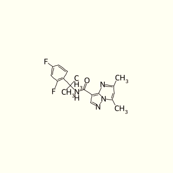 Cc1cc(C)n2ncc(C(=O)NC(C)(C)c3ccc(F)cc3F)c2n1